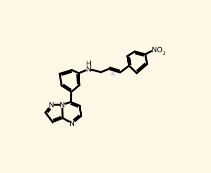 O=[N+]([O-])c1ccc(/C=C/CNc2cccc(-c3ccnc4[c]cnn34)c2)cc1